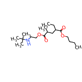 CCCCOC(=O)C(CC)CC(C)C(=O)OCCNC(C)(C)C